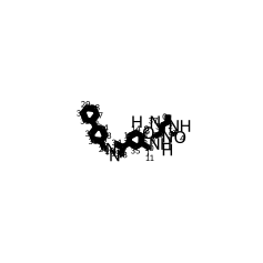 C=C1NC(=O)NC(C(=O)N[C@H](C)c2cccc(-c3cnn(Cc4ccc(-c5ccccc5)cc4)c3)c2)=C1N